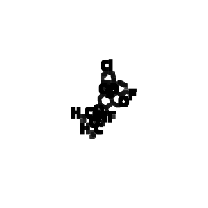 CCN(C(F)C1CCCC2(S(=O)(=O)c3ccc(Cl)cc3)c3cccc(F)c3OCC12)S(C)(=O)=O